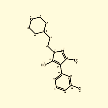 CCc1nn(CCN2CCOCC2)c(O)c1-c1cccc(Cl)c1